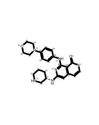 O=C1[N]C=Cc2cc(N[C@H]3CCCNC3)nc(Nc3ccc(N4CCOCC4)cc3)c21